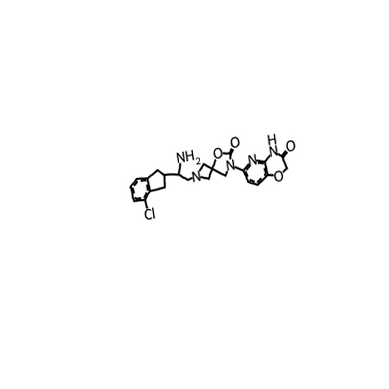 NC(CN1CC2(C1)CN(c1ccc3c(n1)NC(=O)CO3)C(=O)O2)C1Cc2cccc(Cl)c2C1